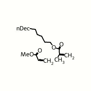 C=C(C)C(=O)OCCCCCCCCCCCCCCC.C=CC(=O)OC